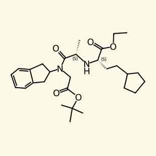 CCOC(=O)[C@H](CCC1CCCC1)N[C@@H](C)C(=O)N(CC(=O)OC(C)(C)C)C1Cc2ccccc2C1